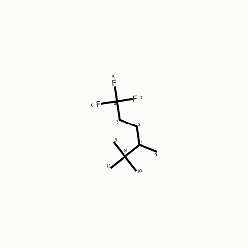 CC(CCC(F)(F)F)C(C)(C)C